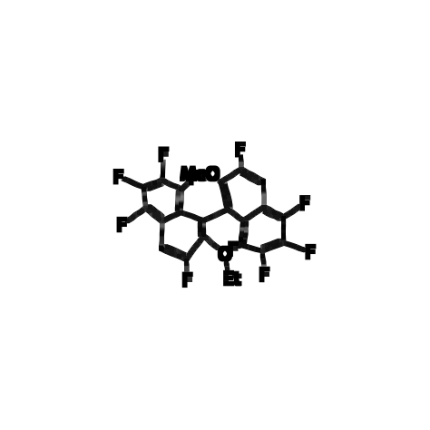 CCOc1c(F)cc2c(F)c(F)c(F)c(F)c2c1-c1c(OC)c(F)cc2c(F)c(F)c(F)c(F)c12